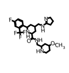 COC1CCNC(CNC(=O)C2CC(CNC3=NCCC3)CC(c3ccc(F)cc3C(F)(F)F)N2)C1